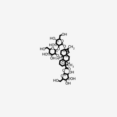 C=C1C[C@@]23CC[C@H]4[C@@](C)(CCC[C@@]4(C)C(=O)O[C@@H]4OC(CO)[C@@H](O)[C@@H](O)C4O)[C@@H]2CC[C@]1(O[C@@H]1OC(CO)[C@@H](O)[C@@H](O)C1O[C@@H]1OC(CO)[C@@H](O)[C@@H](O)C1O)C3